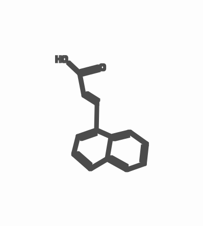 O=C(O)/C=C/c1cccc2ccccc12